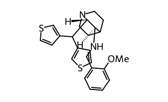 COc1ccccc1CN[C@@H]1C2CCN(CC2)[C@H]1C(c1ccsc1)c1ccsc1